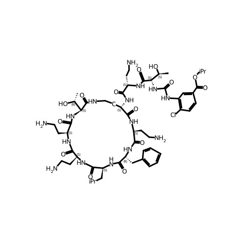 CC(C)C[C@@H]1NC(=O)[C@@H](Cc2ccccc2)NC(=O)[C@H](CCN)NC(=O)[C@@H](NC(=O)[C@H](CCN)NC(=O)[C@@H](NC(=O)Nc2cc(C(=O)OC(C)C)ccc2Cl)[C@H](C)O)CCNC(=O)[C@H]([C@@H](C)O)NC(=O)[C@H](CCN)NC(=O)[C@H](CCN)NC1=O